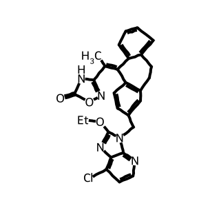 CCOc1nc2c(Cl)ccnc2n1Cc1ccc2c(c1)CCc1ccccc1C2=C(C)c1noc(=O)[nH]1